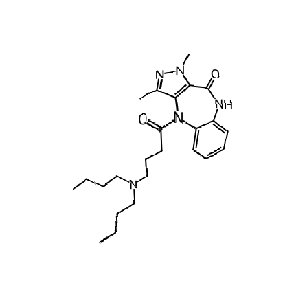 CCCCN(CCCC)CCCC(=O)N1c2ccccc2NC(=O)c2c1c(C)nn2C